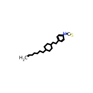 C=CCCCCCC1CCC(CCc2ccc(N=C=S)cc2)CC1